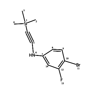 C[Si](C)(C)C#CNc1ccc(Br)c(F)c1